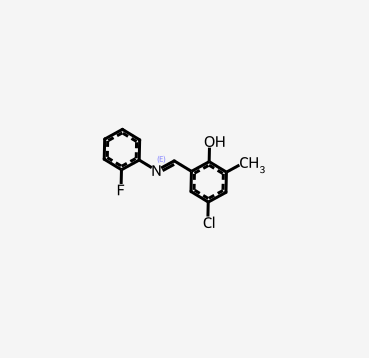 Cc1cc(Cl)cc(/C=N/c2ccccc2F)c1O